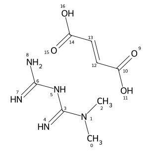 CN(C)C(=N)NC(=N)N.O=C(O)/C=C/C(=O)O